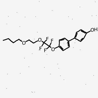 CCCCOCCOC(F)(F)C(F)(F)Oc1ccc(-c2ccc(O)cc2)cc1